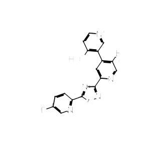 Cc1ccncc1-c1cc(-c2noc(-c3ccc(F)cn3)n2)ncc1F